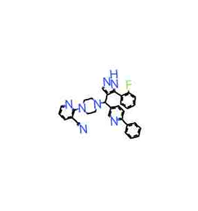 N#Cc1cccnc1N1CCN(C(c2ccc(-c3ccccc3)nc2)c2cn[nH]c2-c2ccccc2F)CC1